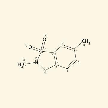 Cc1ccc2c(c1)S(=O)(=O)N(C)C2